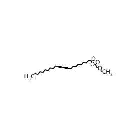 CCCCCCCCCCC#CC#CCCCCCCCCC(=O)OC(=O)COCC